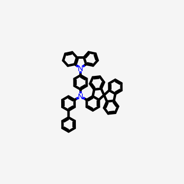 C1=Cc2c(n(-c3ccc(N(c4cccc(-c5ccccc5)c4)c4cccc5c4-c4ccccc4C54c5ccccc5-c5ccccc54)cc3)c3ccccc23)CC1